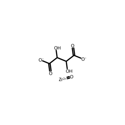 O=C([O-])C(O)C(O)C(=O)[O-].[O]=[Zr+2]